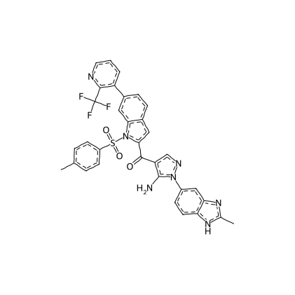 Cc1ccc(S(=O)(=O)n2c(C(=O)c3cnn(-c4ccc5[nH]c(C)nc5c4)c3N)cc3ccc(-c4cccnc4C(F)(F)F)cc32)cc1